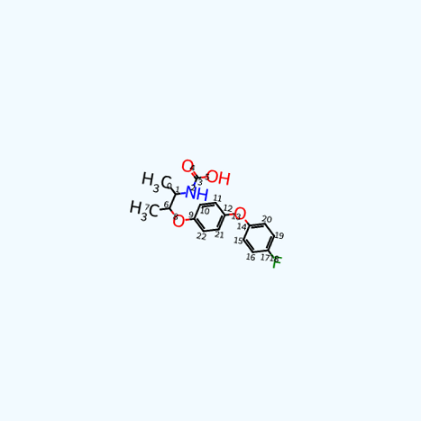 CC(NC(=O)O)C(C)Oc1ccc(Oc2ccc(F)cc2)cc1